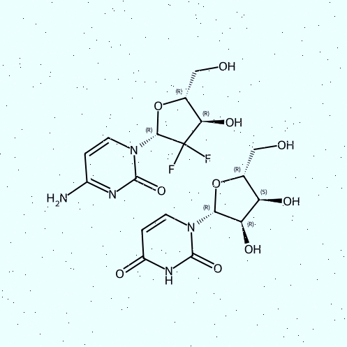 Nc1ccn([C@@H]2O[C@H](CO)[C@@H](O)C2(F)F)c(=O)n1.O=c1ccn([C@@H]2O[C@H](CO)[C@@H](O)[C@H]2O)c(=O)[nH]1